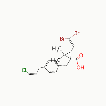 CC1(C)C(C=C(Br)Br)C1(Cc1ccc(C/C=C\Cl)cc1)C(=O)O